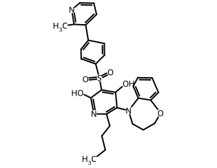 CCCCc1nc(O)c(S(=O)(=O)c2ccc(-c3cccnc3C)cc2)c(O)c1N1CCCOc2ccccc21